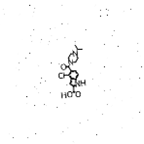 CC(C)N1CCN(C(=O)c2ccc3[nH]c(C(=O)O)cc3c2Cl)CC1